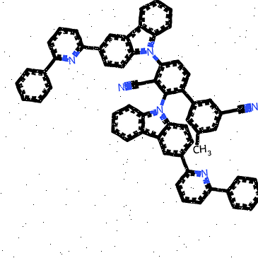 Cc1cc(C#N)cc(-c2ccc(-n3c4ccccc4c4cc(-c5cccc(-c6ccccc6)n5)ccc43)c(C#N)c2-n2c3ccccc3c3cc(-c4cccc(-c5ccccc5)n4)ccc32)c1